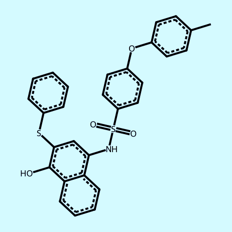 Cc1ccc(Oc2ccc(S(=O)(=O)Nc3cc(Sc4ccccc4)c(O)c4ccccc34)cc2)cc1